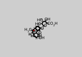 CN1CC[C@]23c4c5ccc(O[C@@H]6O[C@H](C(=O)O)[C@@H](O)[C@H](O)[C@H]6O)c4O[C@H]2[C@@H](O)C=C[C@H]3[C@H]1C5